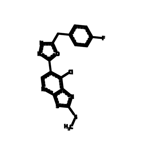 CSc1nc2c(Cl)c(-c3nnc(Cc4ccc(F)cc4)o3)cnc2s1